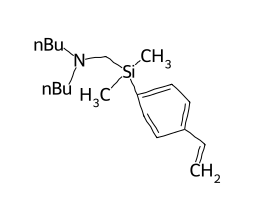 C=Cc1ccc([Si](C)(C)CN(CCCC)CCCC)cc1